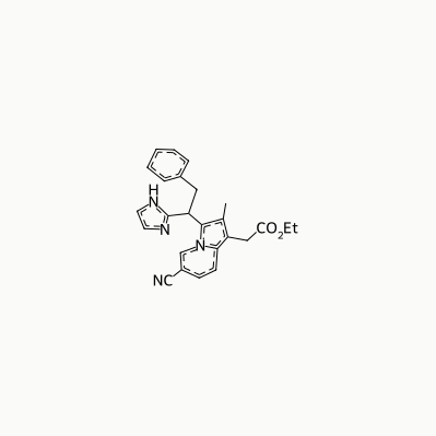 CCOC(=O)Cc1c(C)c(C(Cc2ccccc2)c2ncc[nH]2)n2cc(C#N)ccc12